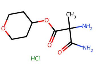 CC(N)(C(N)=O)C(=O)OC1CCOCC1.Cl